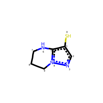 Sc1cnn2c1NCCC2